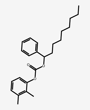 CCCCCCCCC(OC(=O)Oc1cccc(C)c1C)c1ccccc1